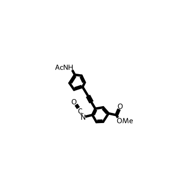 COC(=O)c1ccc(N=C=O)c(C#Cc2ccc(NC(C)=O)cc2)c1